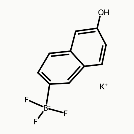 Oc1ccc2cc([B-](F)(F)F)ccc2c1.[K+]